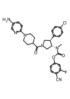 CN(C(=O)Oc1ccc(C#N)c(F)c1)[C@@H]1CN(C(=O)C2CCN(c3ccc(N)cn3)CC2)C[C@H]1c1ccc(Cl)cc1